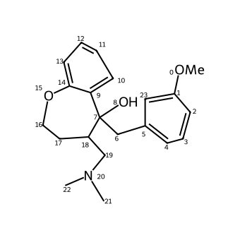 COc1cccc(CC2(O)c3ccccc3OCCC2CN(C)C)c1